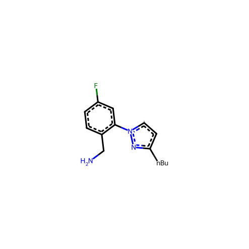 CCCCc1c[c]n(-c2cc(F)ccc2CN)n1